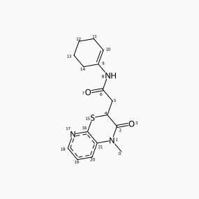 CN1C(=O)C(CC(=O)NC2=CCCCC2)Sc2ncccc21